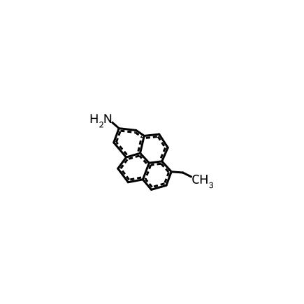 CCc1ccc2ccc3cc(N)cc4ccc1c2c34